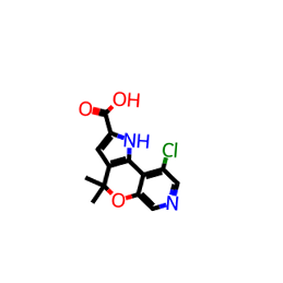 CC1(C)Oc2cncc(Cl)c2-c2[nH]c(C(=O)O)cc21